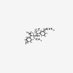 CCC(CC)(NC(=O)c1cccc(OC)c1C)C(=O)c1ccc(F)cc1